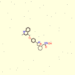 Cc1cc(COc2ccc(C3=NOC4(CCCCC4CC(=O)NO)C3)cc2)c2ccccc2n1